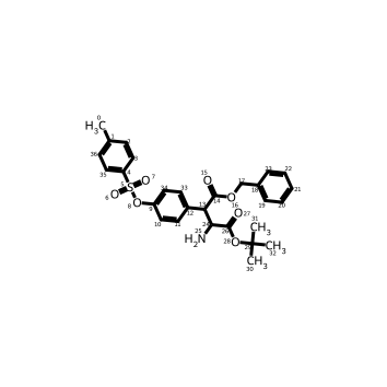 Cc1ccc(S(=O)(=O)Oc2ccc(C(C(=O)OCc3ccccc3)C(N)C(=O)OC(C)(C)C)cc2)cc1